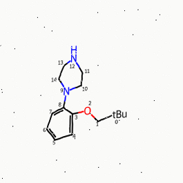 CC(C)(C)COc1ccccc1N1CCNCC1